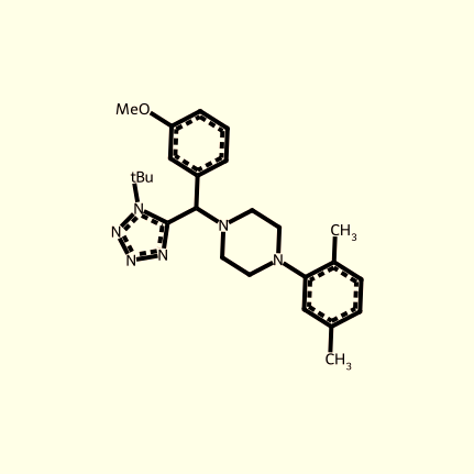 COc1cccc(C(c2nnnn2C(C)(C)C)N2CCN(c3cc(C)ccc3C)CC2)c1